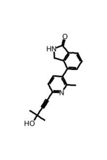 Cc1nc(C#CC(C)(C)O)ccc1-c1cccc2c1CNC2=O